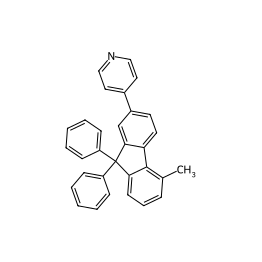 Cc1cccc2c1-c1ccc(-c3ccncc3)cc1C2(c1ccccc1)c1ccccc1